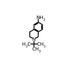 CC(C)(C)N1CCc2cc(N)ccc2C1